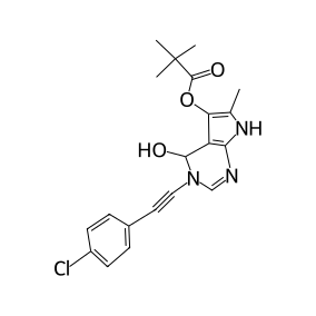 Cc1[nH]c2c(c1OC(=O)C(C)(C)C)C(O)N(C#Cc1ccc(Cl)cc1)C=N2